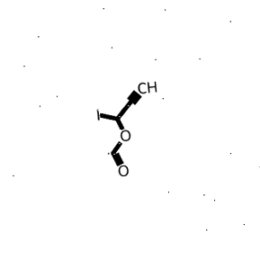 C#CC(I)O[C]=O